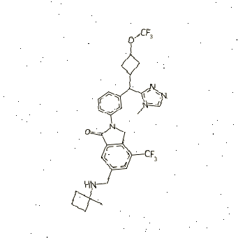 Cn1cnnc1C(c1cccc(N2Cc3c(cc(CNC4(C)CCC4)cc3C(F)(F)F)C2=O)c1)C1CC(OC(F)(F)F)C1